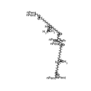 CCCCCC(CCCCC)CCOC(=O)CCCCCCCCCC(CCCCCCCCCC(=O)OCCC(CCCCC)CC(CCC)C(CCCC)C(CCCCC)CC(=O)OCCCCCCCCCCC(CCCCCCCCCCOC(=O)CC(CCCCC)CCCCC)CN(C)C)NC(=O)CN(C)C